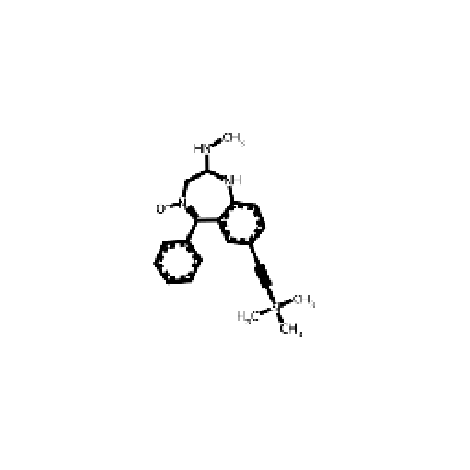 CNC1C[N+]([O-])=C(c2ccccc2)c2cc(C#C[Si](C)(C)C)ccc2N1